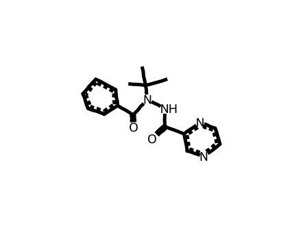 CC(C)(C)N(NC(=O)c1cnccn1)C(=O)c1ccccc1